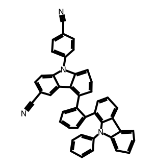 N#Cc1ccc(-n2c3ccc(C#N)cc3c3c(-c4ccccc4-c4cccc5c6ccccc6n(-c6ccccc6)c45)cccc32)cc1